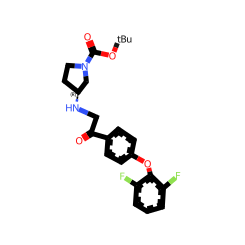 CC(C)(C)OC(=O)N1CC[C@@H](NCC(=O)c2ccc(Oc3c(F)cccc3F)cc2)C1